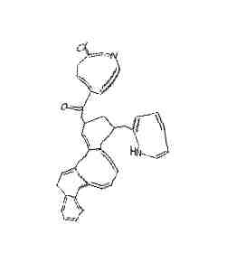 O=C(c1ccnc(Cl)c1)C1C=c2c(ccc3c2=CCc2ccccc2-3)C(C2=CC=CC=CN2)C1